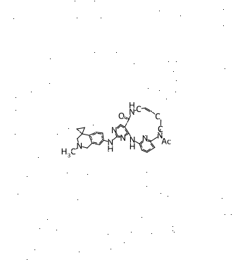 CC(=O)N1CCC/C=C\CNC(=O)c2cnc(Nc3ccc4c(c3)CN(C)CC43CC3)nc2Nc2cccc1n2